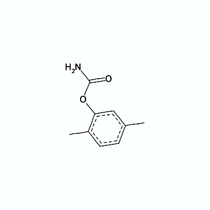 Cc1ccc(C)c(OC(N)=O)c1